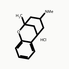 CNC1CC2CC(C)(C1)Oc1ccccc12.Cl